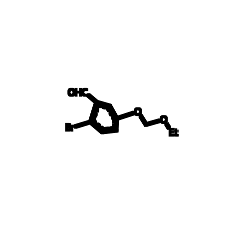 CCOCOc1ccc(Br)c(C=O)c1